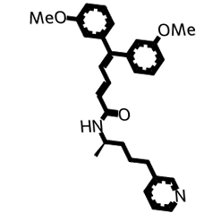 COc1cccc(C(=C/C=C/C(=O)N[C@H](C)CCCc2cccnc2)c2cccc(OC)c2)c1